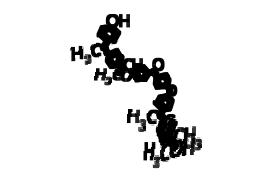 CC(c1ccc(O)cc1)c1ccc(C(C)(C)Oc2ccc(C(=O)c3ccc(Oc4ccc(C(C)C5C=CC(C(C)(C)O)=CC5)cc4)cc3)cc2)cc1